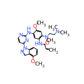 C=CC(=O)Nc1cc(Nc2nccc(-n3ncc4c(OC)cccc43)n2)c(OC)cc1N(C)CCN(C)C